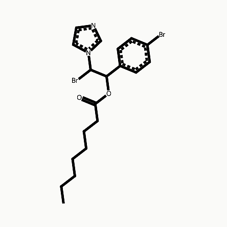 CCCCCCCC(=O)OC(c1ccc(Br)cc1)C(Br)n1ccnc1